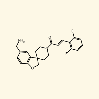 NCc1ccc2c(c1)C1(CCN(C(=O)C=Cc3c(F)cccc3F)CC1)CO2